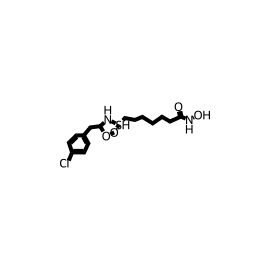 O=C(CCCCCC[SH]1NC(Cc2ccc(Cl)cc2)OO1)NO